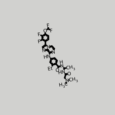 CCc1cc(Nc2nccn3c(-c4ccc(OC(F)F)c(F)c4F)cnc23)ccc1C(=O)NC(C)NC(=O)CN(C)C